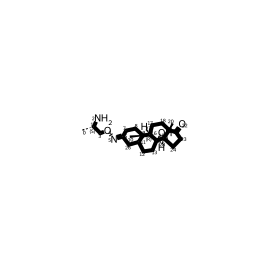 C[C@H](N)CON=C1CC[C@@]2(C)C(CC[C@@]3(O)[C@@H]2CC[C@]2(C)C(=O)CC[C@@H]32)C1